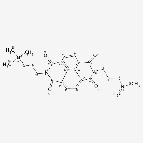 CN(C)CCCN1C(=O)c2ccc3c4c(ccc(c24)C1=O)C(=O)N(CCC[N+](C)(C)C)C3=O